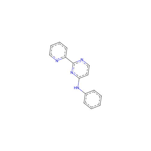 c1ccc(Nc2ccnc(-c3ccccn3)n2)cc1